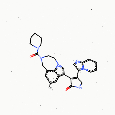 O=C1NCC(c2cnc3ccccn23)=C1c1cn2c3c(cc(C(F)(F)F)cc13)CN(C(=O)N1CCCCC1)CC2